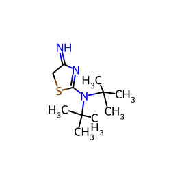 CC(C)(C)N(C1=NC(=N)CS1)C(C)(C)C